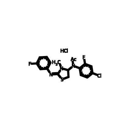 CC(=O)N(c1ccc(Cl)cc1F)C1CSC(=Nc2cccc(F)c2)N1C.Cl